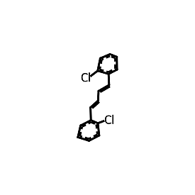 Clc1ccccc1C=CC=Cc1ccccc1Cl